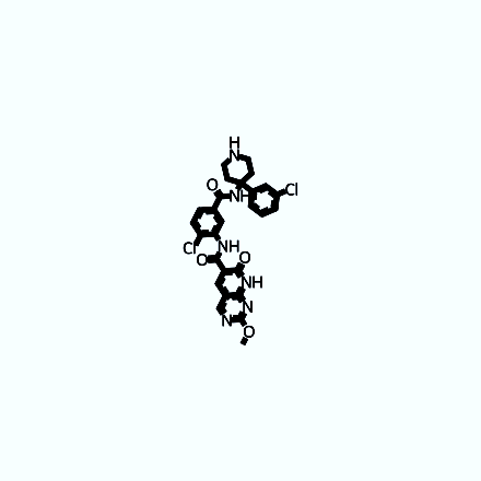 COc1ncc2cc(C(=O)Nc3cc(C(=O)NC4(c5cccc(Cl)c5)CCNCC4)ccc3Cl)c(=O)[nH]c2n1